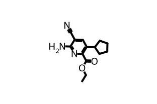 CCOC(=O)c1nc(N)c(C#N)cc1C1CCCC1